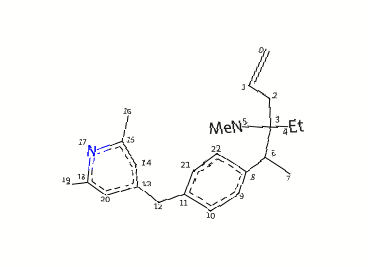 C=CCC(CC)(NC)C(C)c1ccc(Cc2cc(C)nc(C)c2)cc1